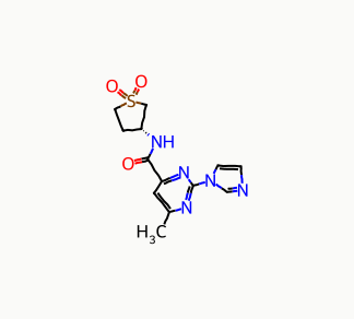 Cc1cc(C(=O)N[C@@H]2CCS(=O)(=O)C2)nc(-n2ccnc2)n1